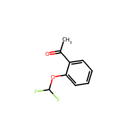 CC(=O)c1ccccc1OC(F)F